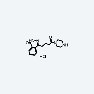 Cl.O=C(CCCc1n[nH]c(=O)c2ccccc12)N1CCNCC1